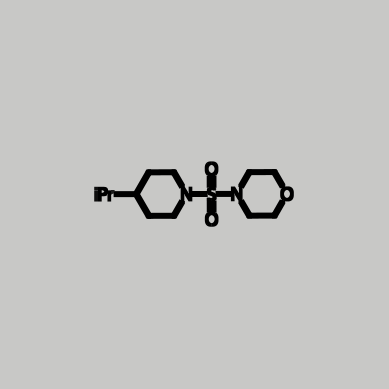 CC(C)C1CCN(S(=O)(=O)N2CCOCC2)CC1